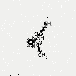 CCCCNC(=O)n1c(NC(=O)OCCCOC)nc2ccccc21